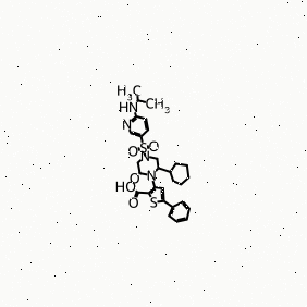 CC(C)Nc1ccc(S(=O)(=O)N2CC(=O)N(c3cc(-c4ccccc4)sc3C(=O)O)C(C3CCCCC3)C2)cn1